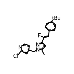 Cc1cc(C(F)=Cc2ccc(C(C)(C)C)cc2)nn1Cc1ccnc(Cl)c1